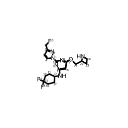 FCc1ccn(-c2nc(NC3CCC(F)(F)CC3)cc(OCC3CCN3)n2)n1